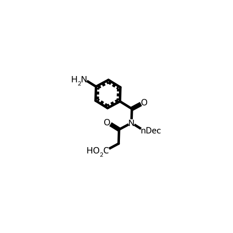 CCCCCCCCCCN(C(=O)CC(=O)O)C(=O)c1ccc(N)cc1